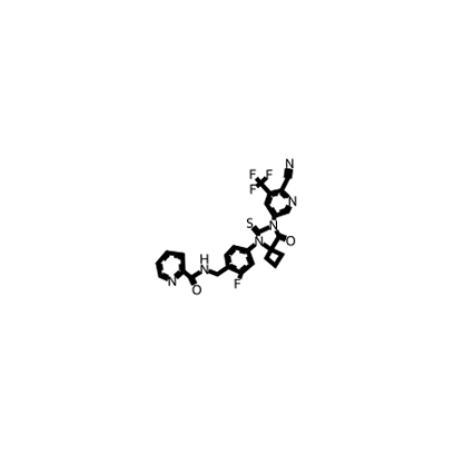 N#Cc1ncc(N2C(=O)C3(CCC3)N(c3ccc(CNC(=O)c4ccccn4)c(F)c3)C2=S)cc1C(F)(F)F